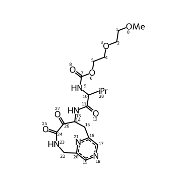 COCCOCCOC(=O)NC(C(=O)NC1Cc2cncc(n2)CNC(=O)C1=O)C(C)C